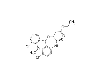 CCOC(=O)CC1OC(c2cccc(Cl)c2OC)c2cc(Cl)ccc2NC1=S